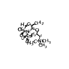 C=C(C)C(OCC[N+](C)(C)C)=[N+](S(=O)(=O)F)S(=O)(=O)F